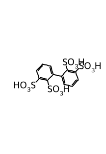 O=S(=O)(O)c1cccc(-c2cccc(S(=O)(=O)O)c2S(=O)(=O)O)c1S(=O)(=O)O